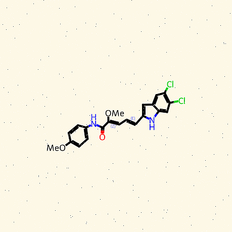 CO/C(=C\C=C\c1cc2cc(Cl)c(Cl)cc2[nH]1)C(=O)Nc1ccc(OC)cc1